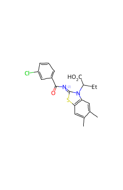 CCC(C(=O)O)n1/c(=N/C(=O)c2cccc(Cl)c2)sc2cc(C)c(C)cc21